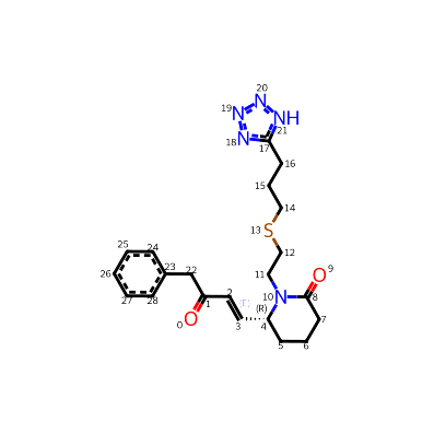 O=C(/C=C/[C@H]1CCCC(=O)N1CCSCCCc1nnn[nH]1)Cc1ccccc1